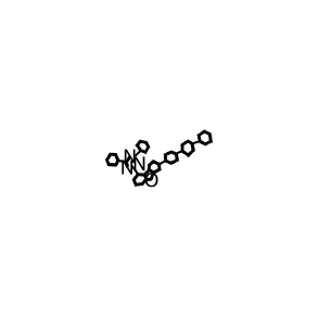 c1ccc(-c2ccc(-c3ccc(-c4ccc5c(c4)oc4cccc(-c6nc(-c7ccccc7)nc(-c7ccccc7)n6)c45)cc3)cc2)cc1